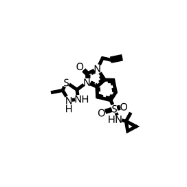 C#CCn1c(=O)n(C2NNC(C)S2)c2cc(S(=O)(=O)NC3(C)CC3)ccc21